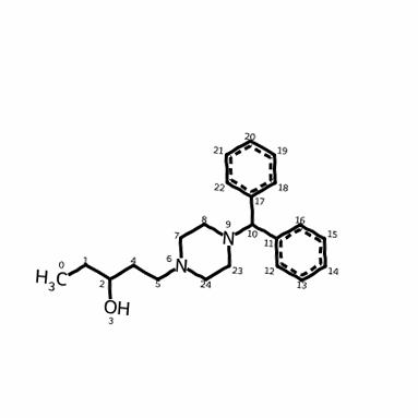 CCC(O)CCN1CCN(C(c2ccccc2)c2ccccc2)CC1